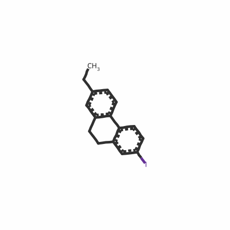 CCc1ccc2c(c1)CCc1cc(I)ccc1-2